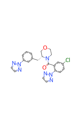 O=C(c1cc(Cl)ccc1-n1nccn1)N1CCOC[C@H]1Cc1cccc(-n2nccn2)c1